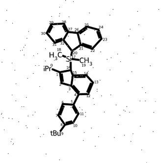 CC(C)C1=Cc2c(-c3ccc(C(C)(C)C)cc3)cccc2C1[Si](C)(C)C1c2ccccc2-c2ccccc21